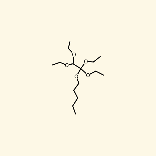 CCCCCOC(OCC)(OCC)[C](OCC)OCC